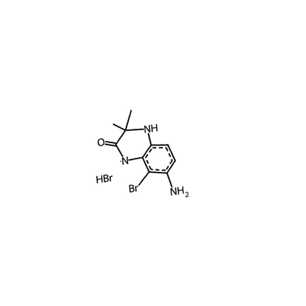 Br.CC1(C)Nc2ccc(N)c(Br)c2[N]C1=O